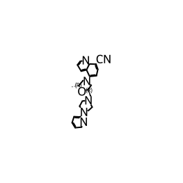 C[C@@H]1CN(c2ccc(C#N)c3ncccc23)C[C@@H](CN2CCN(c3ccccn3)CC2)O1